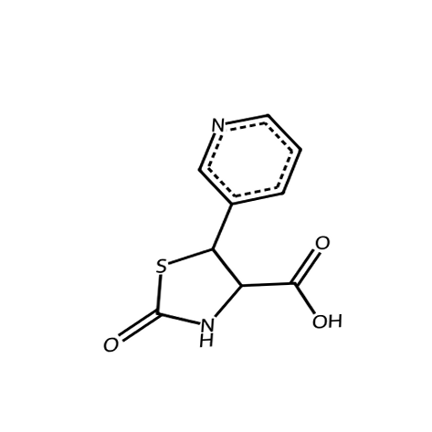 O=C1NC(C(=O)O)C(c2cccnc2)S1